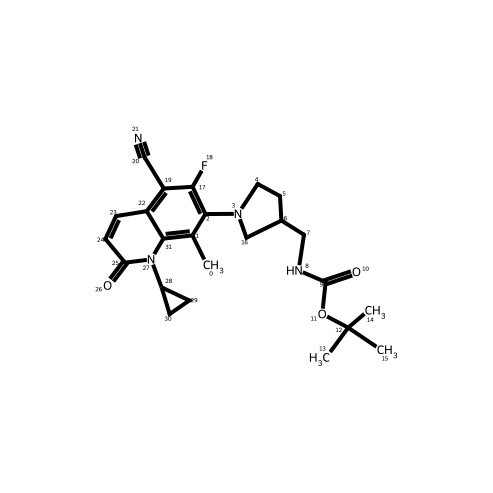 Cc1c(N2CCC(CNC(=O)OC(C)(C)C)C2)c(F)c(C#N)c2ccc(=O)n(C3CC3)c12